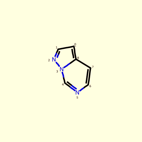 [c]1cnn2cnccc12